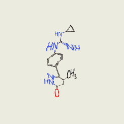 CC1CC(=O)NN=C1c1ccc(NC(=N)NC2CC2)cc1